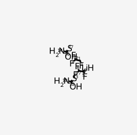 FCC(F)F.FCC(F)F.NC(O)=S.NC(O)=S.[LiH]